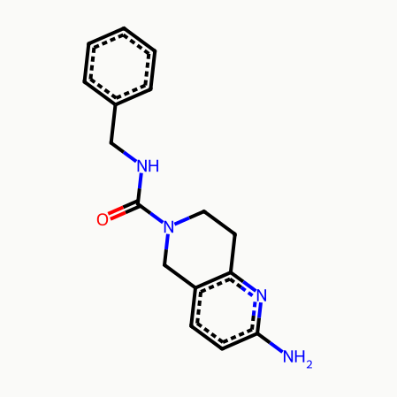 Nc1ccc2c(n1)CCN(C(=O)NCc1ccccc1)C2